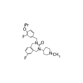 CC(C)Oc1ccc(CN2Cc3ccc(F)cc3CN(C3CCN(C)CC3)C2=O)cc1F